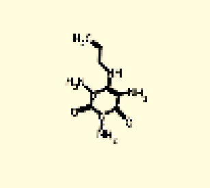 C=CCNc1c(N)c(=O)n(N)c(=O)n1N